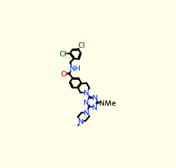 CNc1nc(N2CCN(C)CC2)nc(N2CCc3cc(C(=O)NCc4ccc(Cl)cc4Cl)ccc3C2)n1